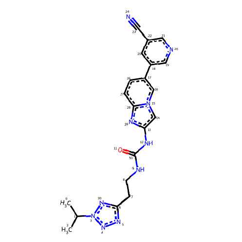 CC(C)n1nnc(CCNC(=O)Nc2cn3cc(-c4cncc(C#N)c4)ccc3n2)n1